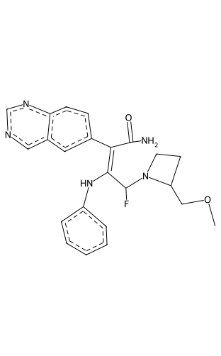 COCC1CCN1C(F)C(Nc1ccccc1)=C(C(N)=O)c1ccc2ncncc2c1